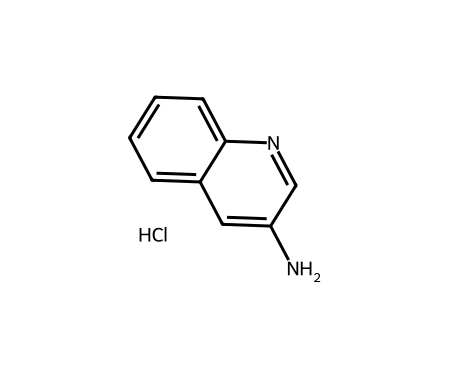 Cl.Nc1cnc2ccccc2c1